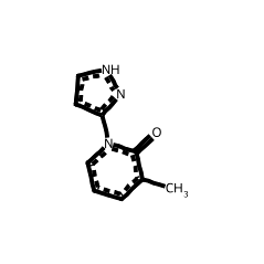 Cc1cccn(-c2cc[nH]n2)c1=O